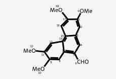 COc1cc2cc(C=O)c3cc(OC)c(OC)cc3c2cc1OC